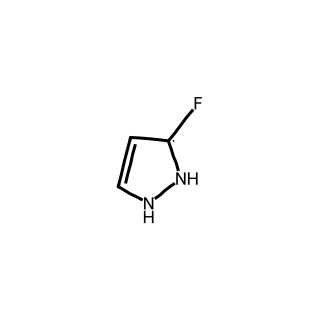 F[C]1C=CNN1